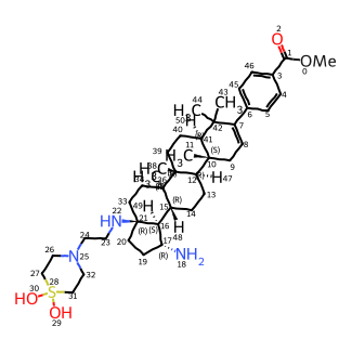 COC(=O)c1ccc(C2=CC[C@]3(C)[C@H]4CC[C@@H]5[C@H]6[C@H](N)CC[C@]6(NCCN6CCS(O)(O)CC6)CC[C@@]5(C)[C@]4(C)CC[C@H]3C2(C)C)cc1